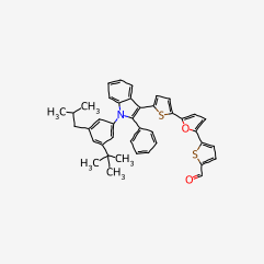 CC(C)Cc1cc(-n2c(-c3ccccc3)c(-c3ccc(-c4ccc(-c5ccc(C=O)s5)o4)s3)c3ccccc32)cc(C(C)(C)C)c1